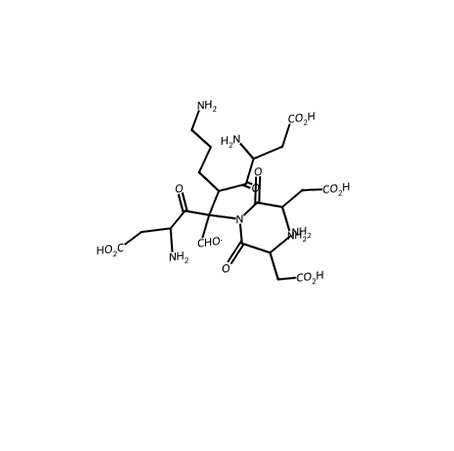 NCCCC(C(=O)C(N)CC(=O)O)C([C]=O)(C(=O)C(N)CC(=O)O)N(C(=O)C(N)CC(=O)O)C(=O)C(N)CC(=O)O